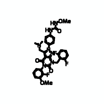 CONC(=O)Nc1ccc(-n2nc3c(c2CN(C)C)c(=O)n(-c2cccc(OC)c2F)c(=O)n3Cc2c(F)cccc2F)cc1